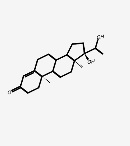 CC(O)[C@@]1(O)CCC2C3CCC4=CC(=O)CC[C@]4(C)C3CC[C@@]21C